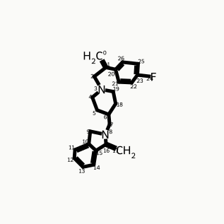 C=C(CN1CCC(CN2Cc3ccccc3C2=C)CC1)c1ccc(F)cc1